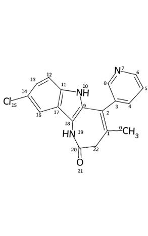 CC1=C(c2cccnc2)c2[nH]c3ccc(Cl)cc3c2NC(=O)C1